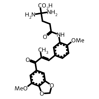 COc1ccc(C=C(C)C(=O)c2cc(OC)c3c(c2)OCO3)cc1NC(=O)CCC(N)(N)C(=O)O